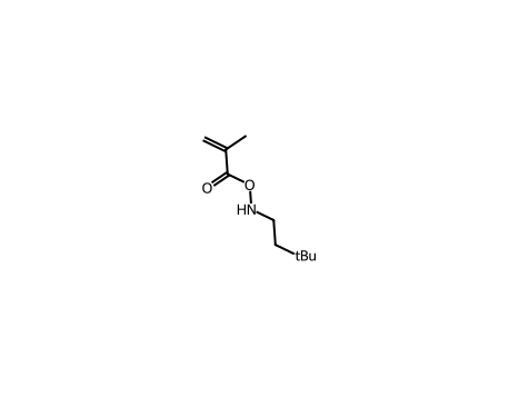 C=C(C)C(=O)ONCCC(C)(C)C